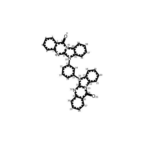 O=c1c2ccccc2nc2n(-c3cccc(-n4c5ccccc5n5c(=O)c6ccccc6nc45)c3)c3ccccc3n12